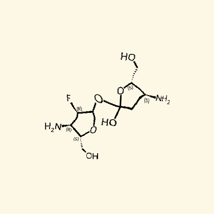 N[C@@H]1[C@@H](CO)OC(OC2(O)C[C@H](N)[C@@H](CO)O2)[C@@H]1F